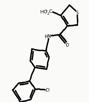 O=C(O)C1=C(C(=O)Nc2ccc(-c3ccccc3Cl)cc2)CSC1